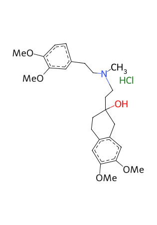 COc1ccc(CCN(C)CCC2(O)CCc3cc(OC)c(OC)cc3C2)cc1OC.Cl